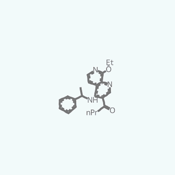 CCCC(=O)c1cnc2c(OCC)nccc2c1NC(C)c1ccccc1